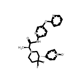 C[C@@H](C(=O)Nc1ccc(Oc2ccccn2)cn1)N1CCC(F)(F)[C@@H](c2cc[n+]([O-])cc2)C1